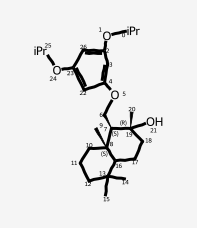 CC(C)Oc1cc(OC[C@@H]2[C@@]3(C)CCCC(C)(C)C3CC[C@@]2(C)O)cc(OC(C)C)c1